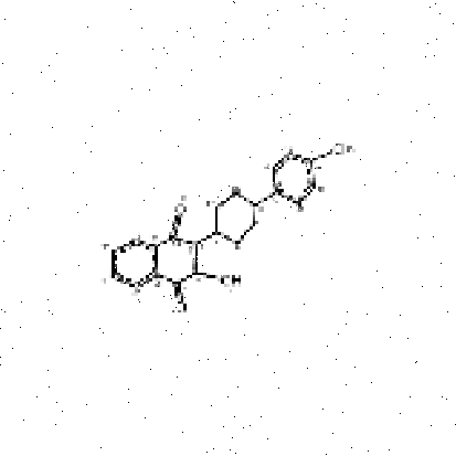 O=C1C(O)=C(C2CCC(c3ccc(Cl)cc3)CC2)C(=O)c2ccccc21